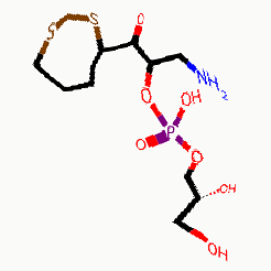 NCC(OP(=O)(O)OC[C@H](O)CO)C(=O)C1CCCSS1